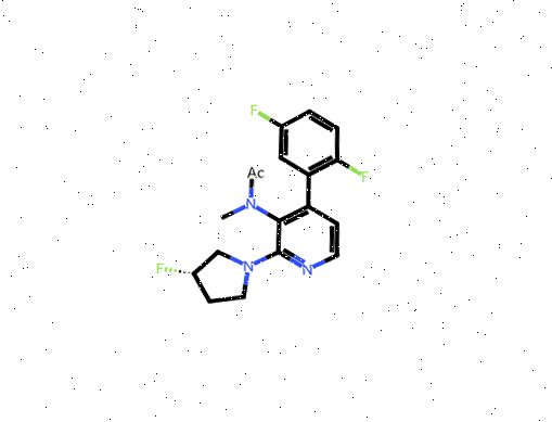 CC(=O)N(C)c1c(-c2cc(F)ccc2F)ccnc1N1CC[C@H](F)C1